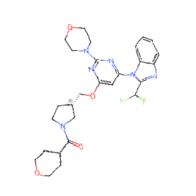 O=C(C1CCOCC1)N1CC[C@H](COc2cc(-n3c(C(F)F)nc4ccccc43)nc(N3CCOCC3)n2)C1